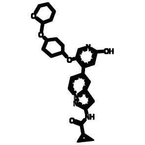 O=C(Nc1cc2cc(-c3cc(O)ncc3OC3CCC(OC4CCCCO4)CC3)ccn2n1)C1CC1